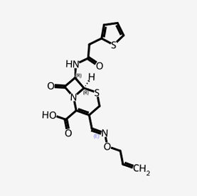 C=CCO/N=C/C1=C(C(=O)O)N2C(=O)[C@@H](NC(=O)Cc3cccs3)[C@H]2SC1